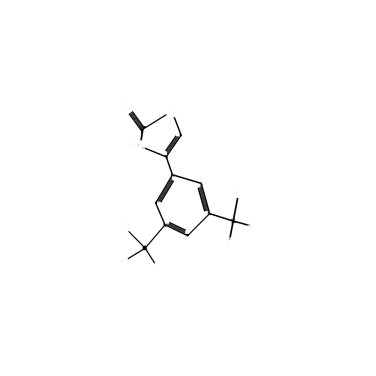 O=c1[nH]c(-c2cc(C(F)(F)F)cc(C(F)(F)F)c2)co1